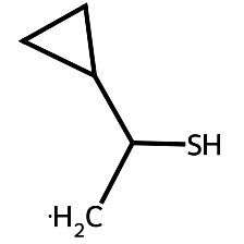 [CH2]C(S)C1CC1